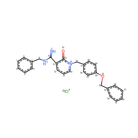 Cl.N=C(NCc1ccccc1)c1cccn(Cc2ccc(OCc3ccccc3)cc2)c1=O